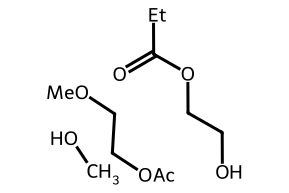 CCC(=O)OCCO.CO.COCCOC(C)=O